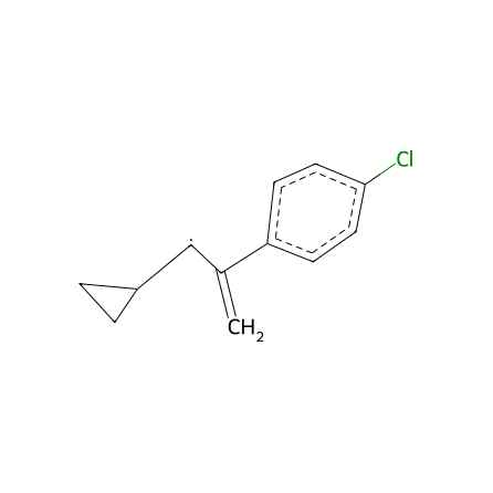 C=C([CH]C1CC1)c1ccc(Cl)cc1